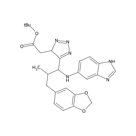 CC(Cc1ccc2c(c1)OCO2)C(Nc1ccc2[nH]cnc2c1)C1=NN=NC1CC(=O)OC(C)(C)C